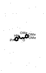 COc1cc(C(=O)C=Cc2c[nH]c3cc(C(C)C)ccc23)cc(OC)c1OC